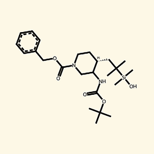 CC(C)(C)OC(=O)NC1CN(C(=O)OCc2ccccc2)CC[C@@H]1CC(C)(C)[Si](C)(C)O